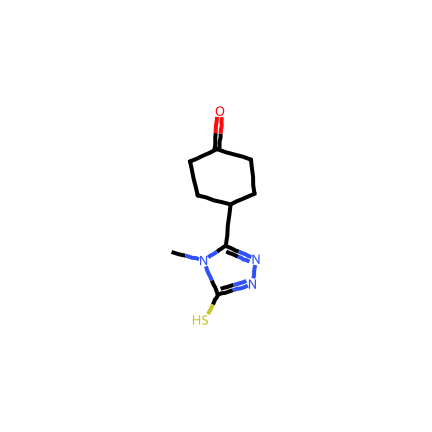 Cn1c(S)nnc1C1CCC(=O)CC1